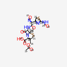 CON=C(C(=O)N[C@@H]1C(=O)N2C(C(=O)O)=C(COC(C)=O)CS[C@H]12)c1csc(NC=O)n1